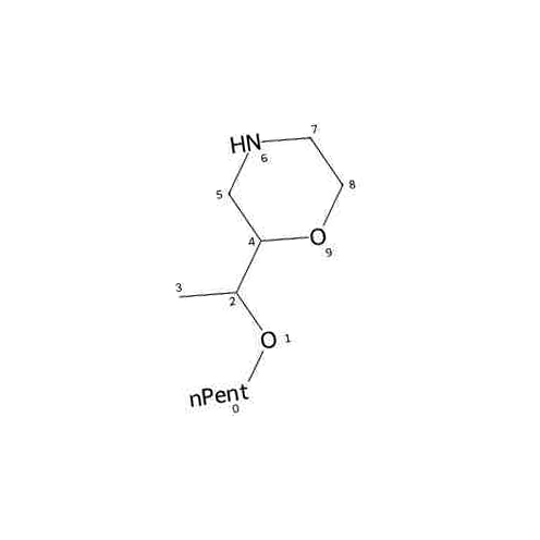 CCCCCOC(C)C1CNCCO1